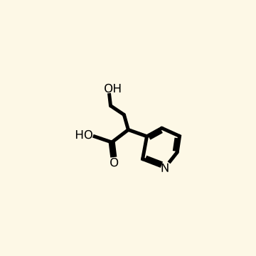 O=C(O)C(CCO)c1cccnc1